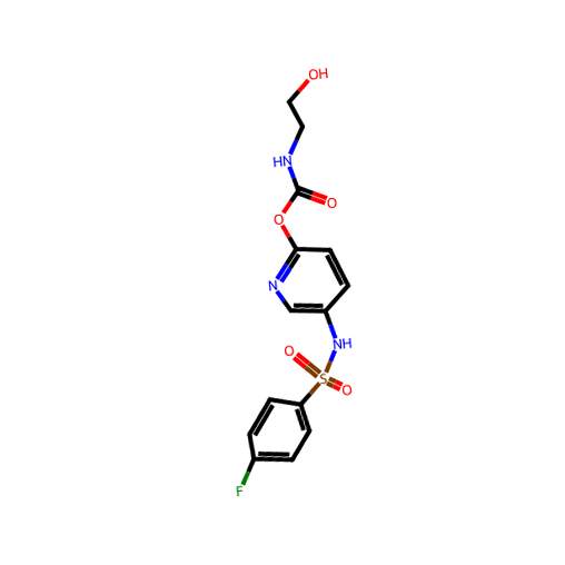 O=C(NCCO)Oc1ccc(NS(=O)(=O)c2ccc(F)cc2)cn1